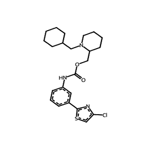 O=C(Nc1cccc(-c2nc(Cl)cs2)c1)OCC1CCCCN1CC1CCCCC1